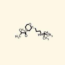 CC(C)C(=O)N1CCO[C@H](CCCNC(C)(C)C)C1